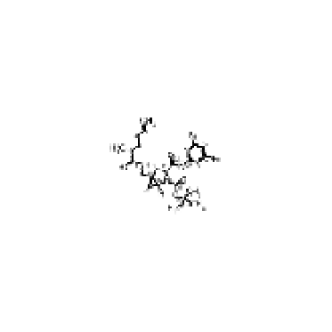 C=CCC[C@@H](C)C(=O)NC[C@@]12C[C@@H](C(=O)Nc3cc(F)cc(Br)n3)N(C(=O)OC(C)(C)C)[C@@H]1C2